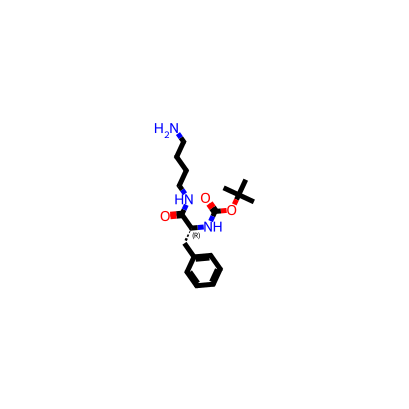 CC(C)(C)OC(=O)N[C@H](Cc1ccccc1)C(=O)NCCCCN